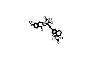 COc1ccc2c(c1)CCN(C[C@@]1(C#Cc3ccc4c(c3)CCCC43NC(=O)NC3=O)NC(=O)NC1=O)C2=O